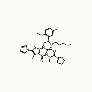 COCCCO[C@@H](Cn1c(=O)n(C(C)C(=O)N2CCCC2)c(=O)c2c(C)c(-n3cccn3)sc21)c1cc(F)ccc1OC